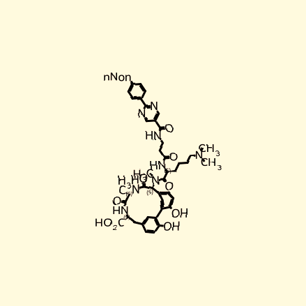 CCCCCCCCCc1ccc(-c2ncc(C(=O)NCCC(=O)N[C@@H](CCCCN(C)C)C(=O)N(C)[C@@H]3C(=O)N[C@@H](C)C(=O)N[C@H](C(=O)O)Cc4ccc(O)c(c4)-c4cc3ccc4O)cn2)cc1